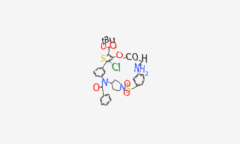 CC(C)(C)OC(=O)c1sc(-c2cccc(N(C(=O)c3ccccc3)C3CCN(S(=O)(=O)Cc4cccc(N)c4)CC3)c2)c(Cl)c1OCC(=O)O